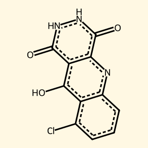 O=c1[nH][nH]c(=O)c2c(O)c3c(Cl)cccc3nc12